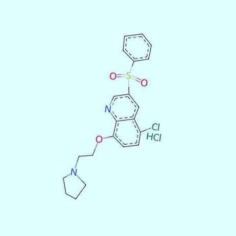 Cl.O=S(=O)(c1ccccc1)c1cnc2c(OCCN3CCCC3)ccc(Cl)c2c1